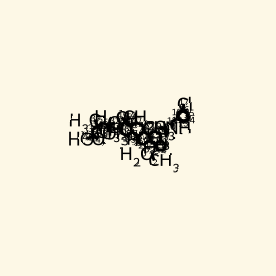 C=C(C)[C@@H]1CC[C@]2(CC(=O)NCc3cccc(Cl)c3)CC[C@]3(C)[C@H](CC[C@@H]4[C@@]5(C)CC[C@H](OC(=O)CC(C)(C)CC(=O)O)C(C)(C)[C@@H]5CC[C@]43C)[C@@H]12